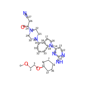 COCCO[C@H]1CC[C@H](Nc2nccc(-n3ccc4c(N5CCN(C(=O)CC#N)CC5)cccc43)n2)CC1